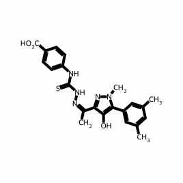 CC(=NNC(=S)Nc1ccc(C(=O)O)cc1)c1nn(C)c(-c2cc(C)cc(C)c2)c1O